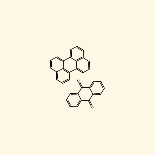 O=C1c2ccccc2C(=O)c2ccccc21.c1cc2cccc3c4cccc5cccc(c(c1)c23)c54